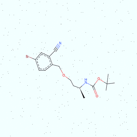 C[C@@H](CCOCc1ccc(Br)cc1C#N)NC(=O)OC(C)(C)C